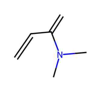 C=CC(=C)N(C)C